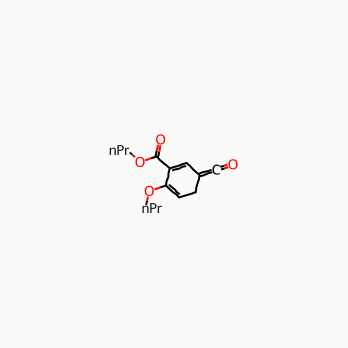 CCCOC(=O)C1=CC(=C=O)CC=C1OCCC